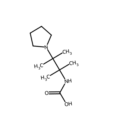 CC(C)(NC(=O)O)C(C)(C)N1CCCC1